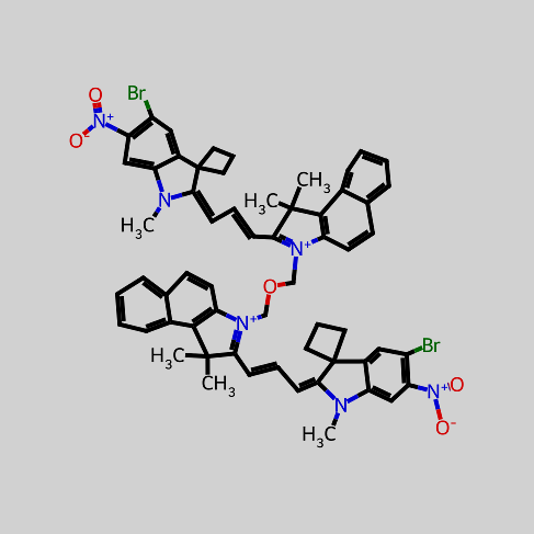 CN1/C(=C/C=C/C2=[N+](COC[N+]3=C(/C=C/C=C4/N(C)c5cc([N+](=O)[O-])c(Br)cc5C45CCC5)C(C)(C)c4c3ccc3ccccc43)c3ccc4ccccc4c3C2(C)C)C2(CCC2)c2cc(Br)c([N+](=O)[O-])cc21